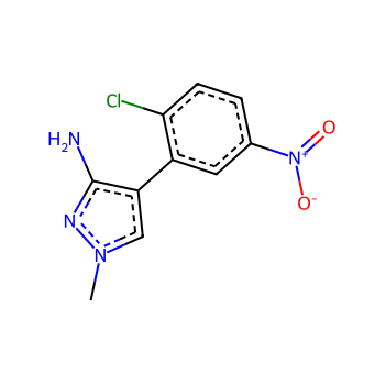 Cn1cc(-c2cc([N+](=O)[O-])ccc2Cl)c(N)n1